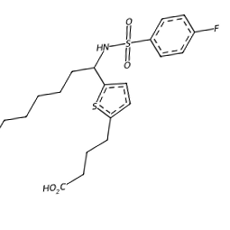 O=C(O)CCCc1ccc(C(CCCCCF)NS(=O)(=O)c2ccc(F)cc2)s1